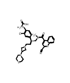 CC(=O)O.CN(C[C@@H](CCN1CC(N2CCSCC2)C1)c1ccc(Cl)c(Cl)c1)C(=O)c1cc(C#N)nc2ccccc12